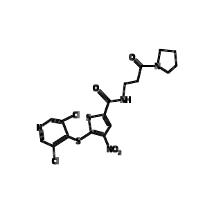 O=C(NCCC(=O)N1CCCC1)c1cc([N+](=O)[O-])c(Sc2c(Cl)cncc2Cl)s1